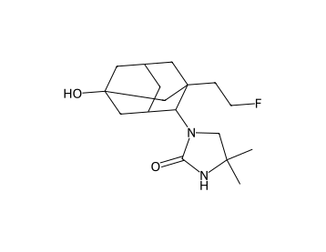 CC1(C)CN(C2C3CC4CC(O)(C3)CC2(CCF)C4)C(=O)N1